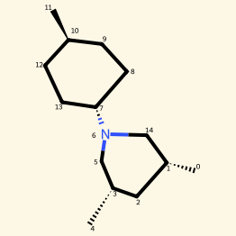 C[C@@H]1C[C@H](C)CN([C@H]2CC[C@H](C)CC2)C1